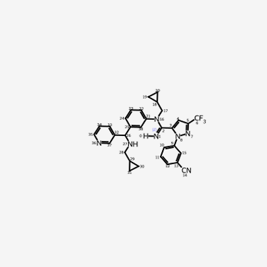 [H]/N=C(/c1cc(C(F)(F)F)nn1-c1cccc(C#N)c1)N(CC1CC1)c1cccc(C(NCC2CC2)c2cccnc2)c1